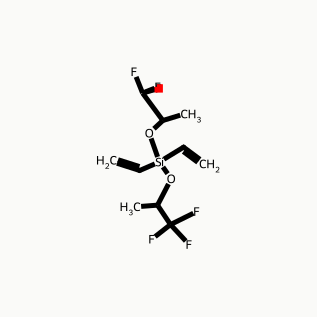 C=C[Si](C=C)(OC(C)C(F)(F)F)OC(C)C(F)(F)F